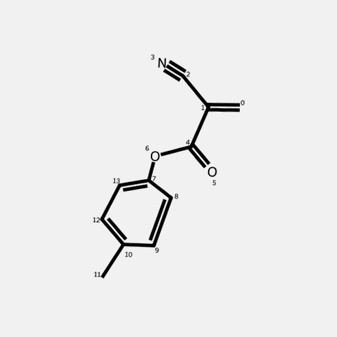 C=C(C#N)C(=O)Oc1ccc(C)cc1